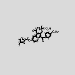 COc1ccc(C(=O)c2c(CC(C)(C)C(=O)O)c(C(=O)C(C)(C)C)c3cc(OCc4nc(C)cs4)ccn23)cc1